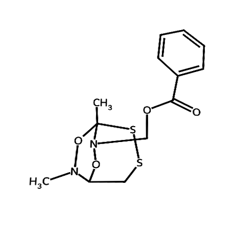 CN1OC2(C)SSCC1ON2COC(=O)c1ccccc1